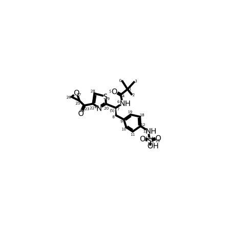 CC(C)(C)C(=O)N[C@@H](Cc1ccc(NS(=O)(=O)O)cc1)c1nc(C(=O)C2CO2)cs1